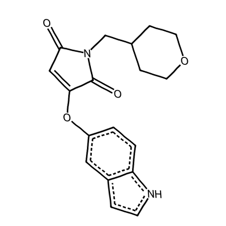 O=C1C=C(Oc2ccc3[nH]ccc3c2)C(=O)N1CC1CCOCC1